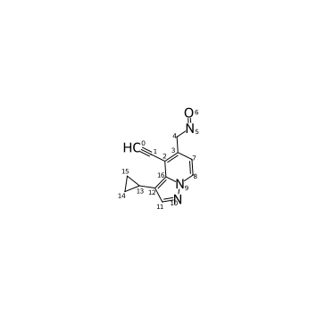 C#Cc1c(CN=O)ccn2ncc(C3CC3)c12